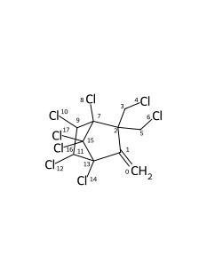 C=C1C(CCl)(CCl)C2(Cl)C(Cl)C(Cl)C1(Cl)C2(Cl)Cl